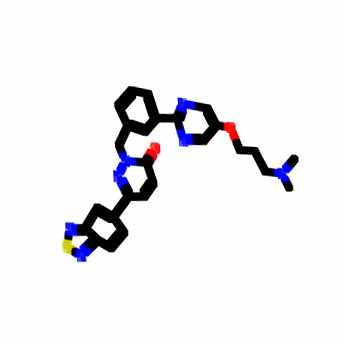 CN(C)CCCOc1cnc(-c2cccc(Cn3nc(-c4ccc5nsnc5c4)ccc3=O)c2)nc1